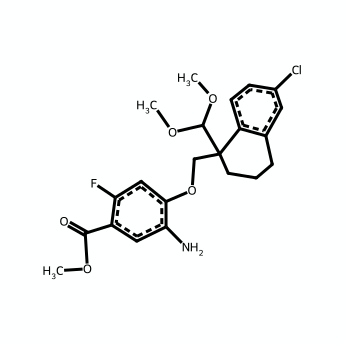 COC(=O)c1cc(N)c(OCC2(C(OC)OC)CCCc3cc(Cl)ccc32)cc1F